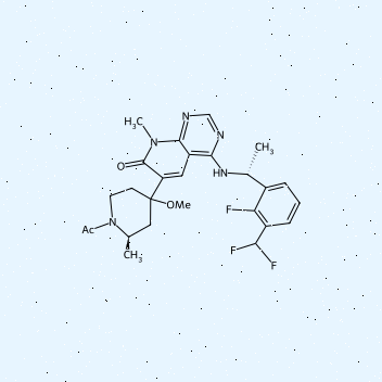 COC1(c2cc3c(N[C@H](C)c4cccc(C(F)F)c4F)ncnc3n(C)c2=O)CCN(C(C)=O)[C@H](C)C1